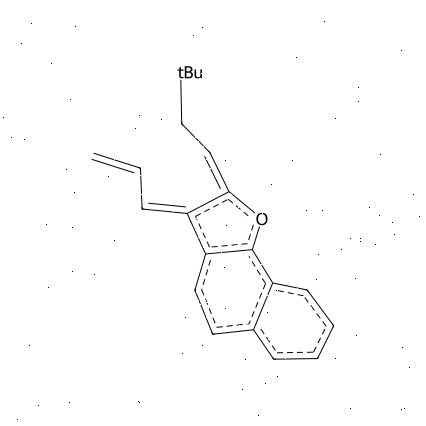 C=C/C=c1\c(=C/CC(C)(C)C)oc2c1ccc1ccccc12